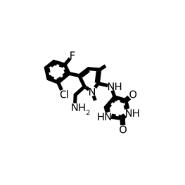 CC1=C(Nc2c[nH]c(=O)[nH]c2=O)N(C)C(CN)C(c2c(F)cccc2Cl)=C1